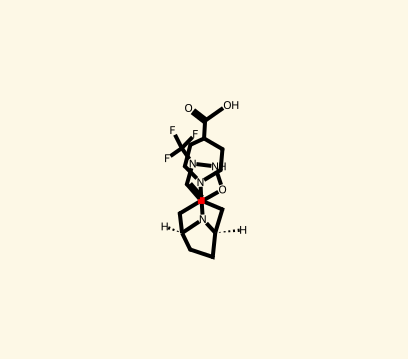 O=C(O)C1CCN(C2C[C@H]3CC[C@@H](C2)N3C2=CN(C(F)(F)F)NO2)CC1